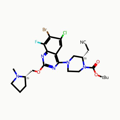 CN1CCC[C@H]1COc1nc(N2CCN(C(=O)OC(C)(C)C)[C@@H](CC#N)C2)c2cc(Cl)c(Br)c(F)c2n1